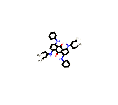 C=C/C=C(\C=C/C)Nc1ccc(Nc2ccccc2)c2c1C(=O)c1c(Nc3ccccc3)ccc(N(I)C(/C=C\C)=C/C=C)c1C2=O